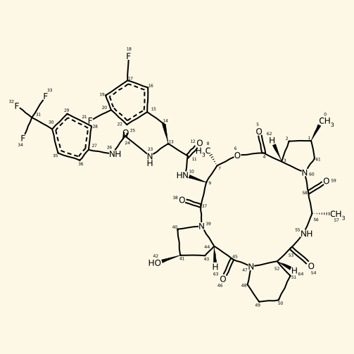 C[C@@H]1C[C@H]2C(=O)O[C@@H](C)[C@H](NC(=O)[C@H](Cc3cc(F)cc(F)c3)NC(=O)Nc3ccc(C(F)(F)F)cc3)C(=O)N3C[C@H](O)C[C@H]3C(=O)N3CCCC[C@H]3C(=O)N[C@@H](C)C(=O)N2C1